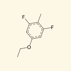 CCOc1cc(F)c(C)c(F)c1